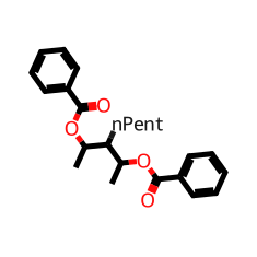 CCCCCC(C(C)OC(=O)c1ccccc1)C(C)OC(=O)c1ccccc1